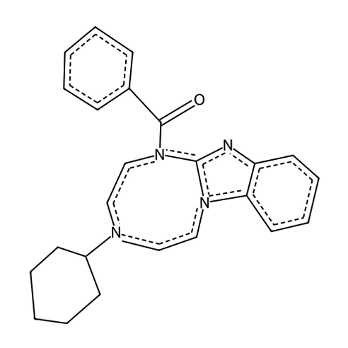 O=C(c1ccccc1)n1ccn(C2CCCCC2)ccn2c3ccccc3nc12